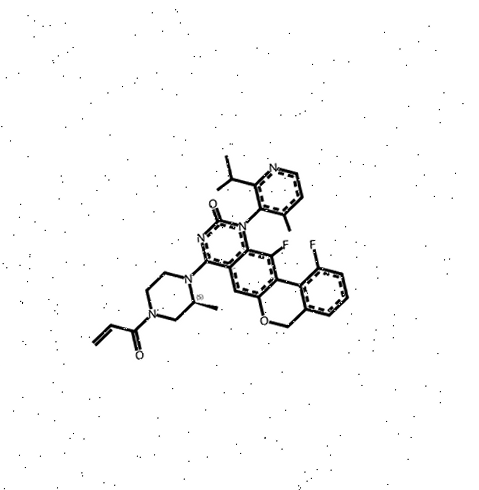 C=CC(=O)N1CCN(c2nc(=O)n(-c3c(C)ccnc3C(C)C)c3c(F)c4c(cc23)OCc2cccc(F)c2-4)[C@@H](C)C1